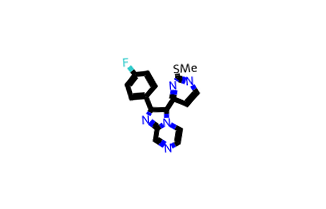 CSc1nccc(C2C(c3ccc(F)cc3)N=C3C=NC=CN32)n1